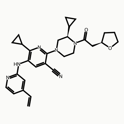 C=Cc1ccnc(Nc2cc(C#N)c(N3CCN(C(=O)C[C@H]4CCCO4)[C@H](C4CC4)C3)nc2C2CC2)c1